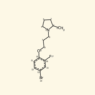 CC1CCCN1CCCOc1ccc(Br)cc1F